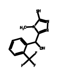 Cn1c(S)nnc1C(O)c1ccccc1C(F)(F)F